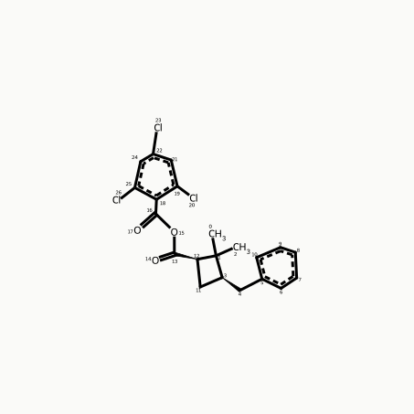 CC1(C)[C@@H](Cc2ccccc2)C[C@H]1C(=O)OC(=O)c1c(Cl)cc(Cl)cc1Cl